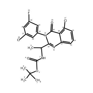 CC(NC(=O)OC(C)(C)C)c1nc2cccc(Cl)c2c(=O)n1-c1cc(F)cc(Cl)c1